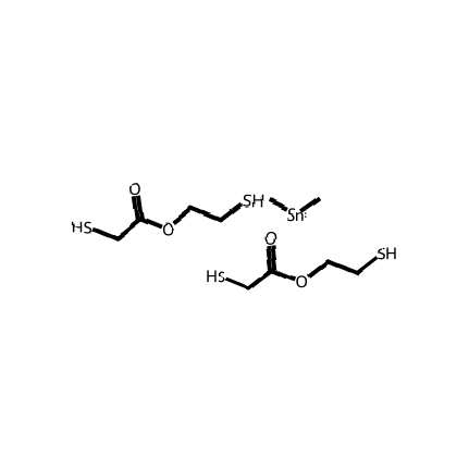 O=C(CS)OCCS.O=C(CS)OCCS.[CH3][Sn][CH3]